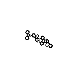 c1ccc(-c2nccc3c2oc2ccccc23)c(-c2ccccc2-c2nccc3c2oc2ccc(-n4c5ccccc5c5ccccc54)cc23)c1